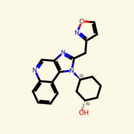 O[C@H]1CCC[C@H](n2c(Cc3ccon3)nc3cnc4ccccc4c32)C1